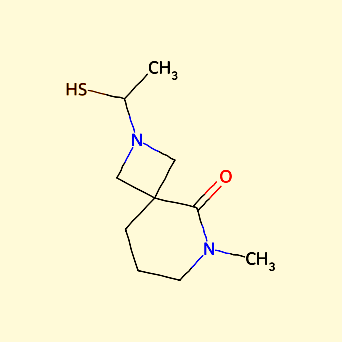 CC(S)N1CC2(CCCN(C)C2=O)C1